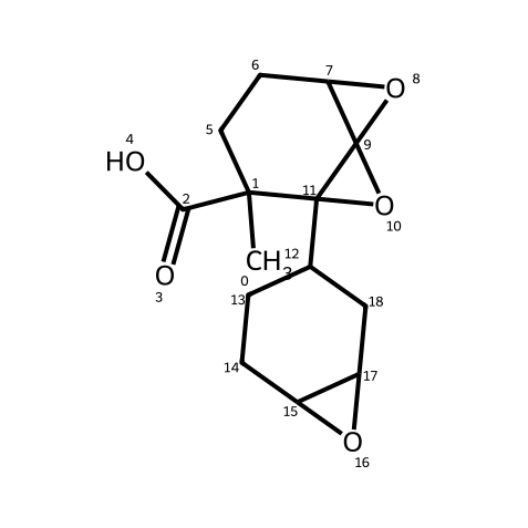 CC1(C(=O)O)CCC2OC23OC13C1CCC2OC2C1